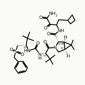 CC(C)(C)[C@H](NC(=O)N[C@H](CS(=O)(=O)Cc1ccccc1)C(C)(C)C)C(=O)N1C[C@H]2[C@@H]([C@H]1C(=O)NC(CC1CCC1)C(=O)C(N)=O)C2(C)C